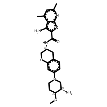 CO[C@H]1CCN(c2ccc3c(c2)OC[C@H](NC(=O)c2sc4nc(C)cc(C)c4c2N)C3)C[C@@H]1N